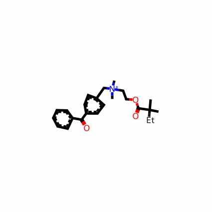 CCC(C)(C)C(=O)OCC[N+](C)(C)Cc1ccc(C(=O)c2ccccc2)cc1